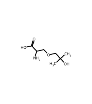 CC(C)(O)COCC(N)C(=O)O